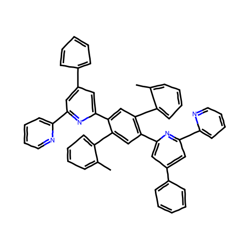 Cc1ccccc1-c1cc(-c2cc(-c3ccccc3)cc(-c3ccccn3)n2)c(-c2ccccc2C)cc1-c1cc(-c2ccccc2)cc(-c2ccccn2)n1